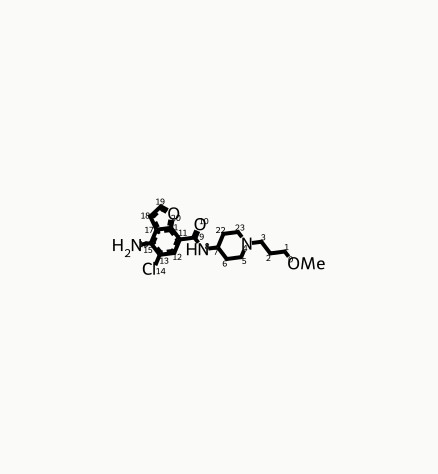 COCCCN1CCC(NC(=O)c2cc(Cl)c(N)c3ccoc23)CC1